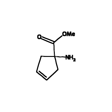 COC(=O)C1(N)CC=CC1